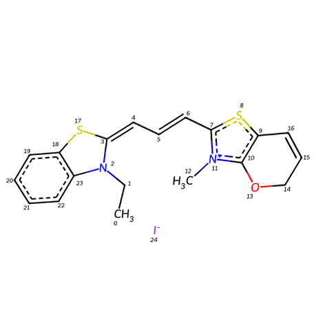 CCN1C(=CC=Cc2sc3c([n+]2C)OCC=C3)Sc2ccccc21.[I-]